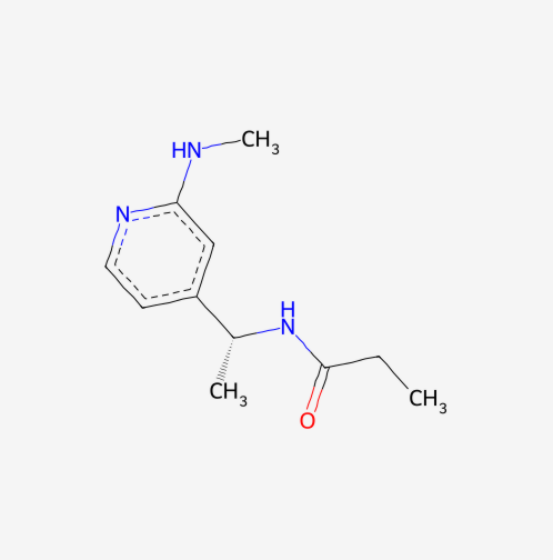 CCC(=O)N[C@H](C)c1ccnc(NC)c1